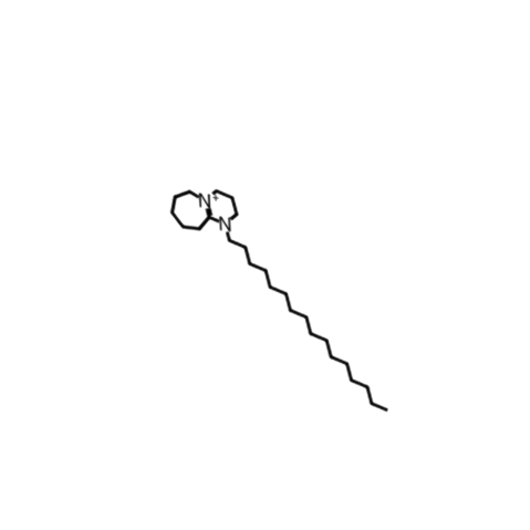 CCCCCCCCCCCCCCCCN1CCC[N+]2=C1CCCCC2